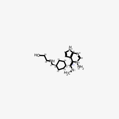 C=N/C(=C1/c2cc[nH]c2N=CN1N)[C@H]1CC[C@H](CNCCO)CC1